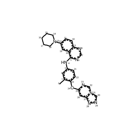 Cc1cc(Nc2ncnc3ccc(N4CCCCC4)cc23)ccc1Oc1cc2nncn2cn1